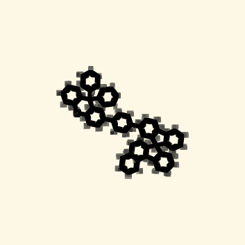 c1ccc(C2(c3ccccc3)c3ccccc3Oc3ccc(-c4ccc(-c5ccc6c(c5)C5(c7ccccc7-6)c6ccccc6-c6c5ccc5ccccc65)cc4)cc32)cc1